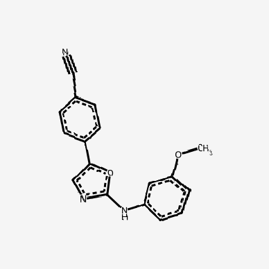 COc1cccc(Nc2ncc(-c3ccc(C#N)cc3)o2)c1